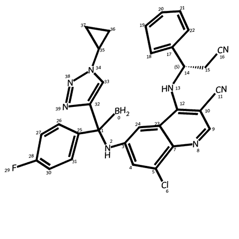 BC(Nc1cc(Cl)c2ncc(C#N)c(N[C@@H](CC#N)c3ccccc3)c2c1)(c1ccc(F)cc1)c1cn(C2CC2)nn1